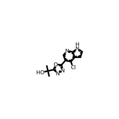 CC(C)(O)c1nnc(-c2cnc3[nH]ccc3c2Cl)o1